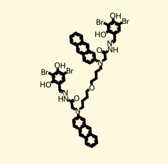 O=C(CN(CCCCOCCCCN(CC(=O)N/N=C/c1cc(Br)c(O)c(Br)c1O)c1ccc2cc3ccccc3cc2c1)c1ccc2cc3ccccc3cc2c1)N/N=C/c1cc(Br)c(O)c(Br)c1O